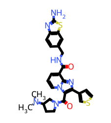 CN(C)C1CCN(C(=O)c2c(-c3ccsc3)nc3c(C(=O)NCc4ccc5nc(N)sc5c4)cccn23)C1